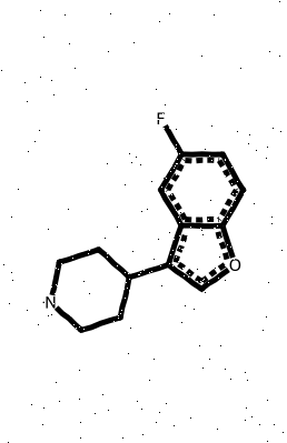 Fc1ccc2occ(C3CC[N]CC3)c2c1